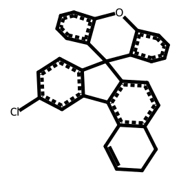 Clc1ccc2c(c1)-c1c(ccc3c1C=CCC3)C21c2ccccc2Oc2ccccc21